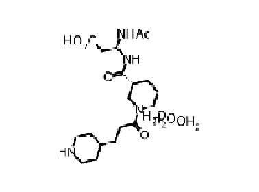 CC(=O)N[C@H](CC(=O)O)NC(=O)[C@@H]1CCCN(C(=O)CCC2CCNCC2)C1.O.O.O